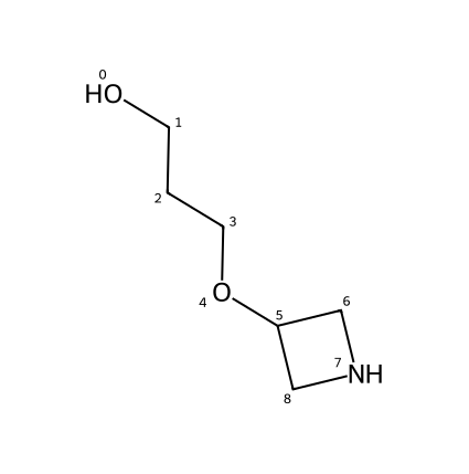 OCCCOC1CNC1